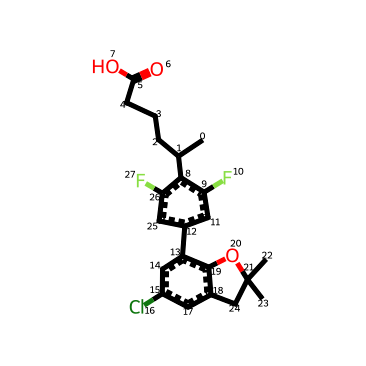 CC(CCCC(=O)O)c1c(F)cc(-c2cc(Cl)cc3c2OC(C)(C)C3)cc1F